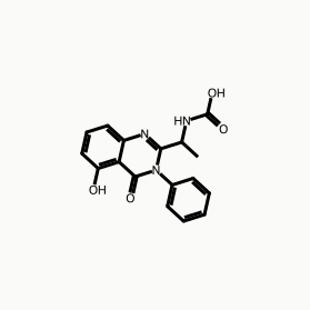 CC(NC(=O)O)c1nc2cccc(O)c2c(=O)n1-c1ccccc1